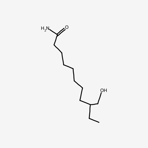 CCC(CO)CCCCCCCC(N)=O